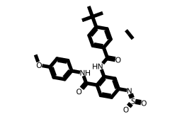 CC.COc1ccc(NC(=O)c2ccc(N=S(=O)=O)cc2NC(=O)c2ccc(C(C)(C)C)cc2)cc1